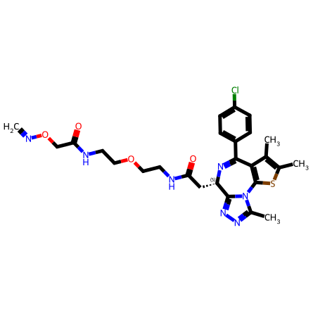 C=NOCC(=O)NCCOCCNC(=O)C[C@@H]1N=C(c2ccc(Cl)cc2)c2c(sc(C)c2C)-n2c(C)nnc21